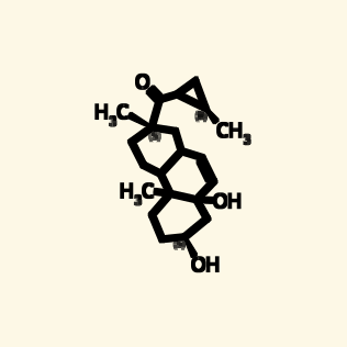 C[C@@H]1CC1C(=O)[C@@]1(C)CCC2C(C=CC3(O)C[C@@H](O)CCC23C)C1